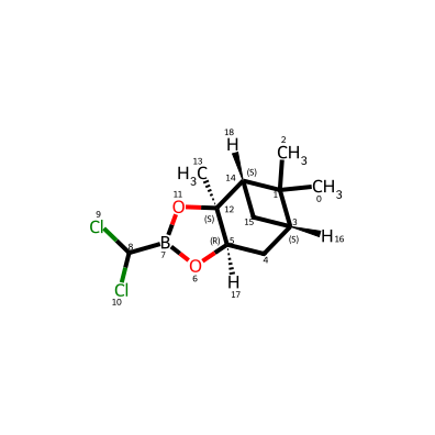 CC1(C)[C@@H]2C[C@H]3OB(C(Cl)Cl)O[C@@]3(C)[C@H]1C2